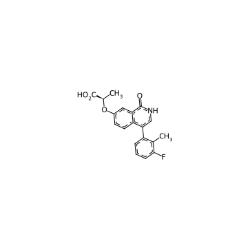 Cc1c(F)cccc1-c1c[nH]c(=O)c2cc(O[C@H](C)C(=O)O)ccc12